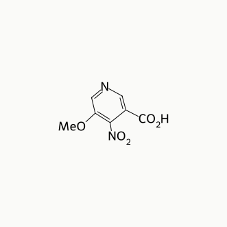 COc1cncc(C(=O)O)c1[N+](=O)[O-]